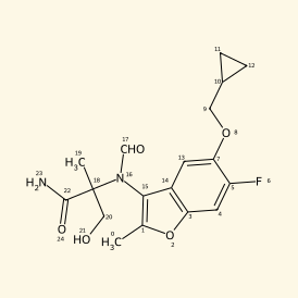 Cc1oc2cc(F)c(OCC3CC3)cc2c1N(C=O)C(C)(CO)C(N)=O